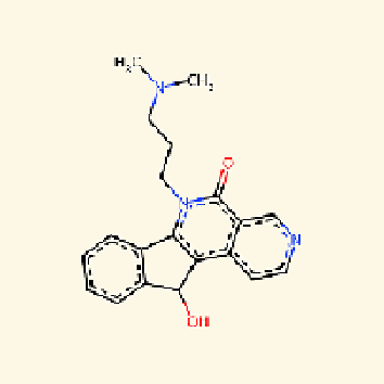 CN(C)CCCn1c2c(c3ccncc3c1=O)C(O)c1ccccc1-2